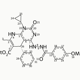 CCOC(=O)C1=C(C)Nc2c(c(NNC(=O)c3ccc(OC)cc3)nc(=O)n2C2CC2)[C@@H]1c1ccccc1